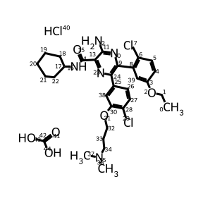 CCOc1ccc(Cl)c(-c2nc(N)c(C(=O)NC3CCCCC3)nc2-c2ccc(Cl)c(OCCCN(C)C)c2)c1.Cl.O=C(O)O